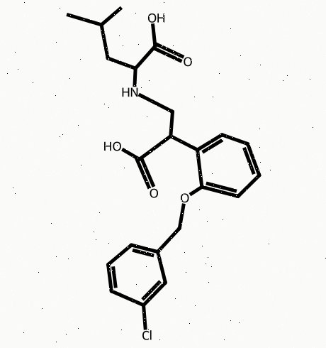 CC(C)CC(NCC(C(=O)O)c1ccccc1OCc1cccc(Cl)c1)C(=O)O